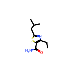 CCc1nc(CC(C)C)sc1C(N)=O